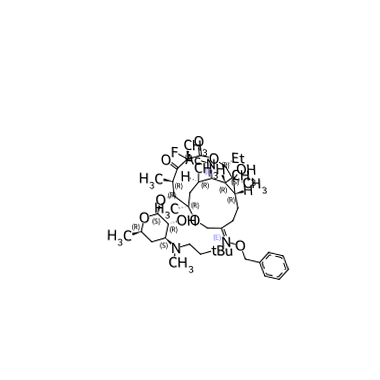 CC[C@H]1OC(=O)[C@@](C)(F)C(=O)[C@H](C)[C@@H](O[C@@H]2O[C@H](C)C[C@H](N(C)CCC(C)(C)C)[C@H]2O)[C@@]2(C)C[C@@H](C)/C(=N\C(C)=O)[C@H](C)[C@@H](CC/C(=N\OCc3ccccc3)CO2)[C@]1(C)O